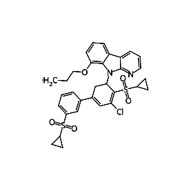 [CH2]CCOc1cccc2c3cccnc3n(C3CC(c4cccc(S(=O)(=O)C5CC5)c4)=CC(Cl)=C3S(=O)(=O)C3CC3)c12